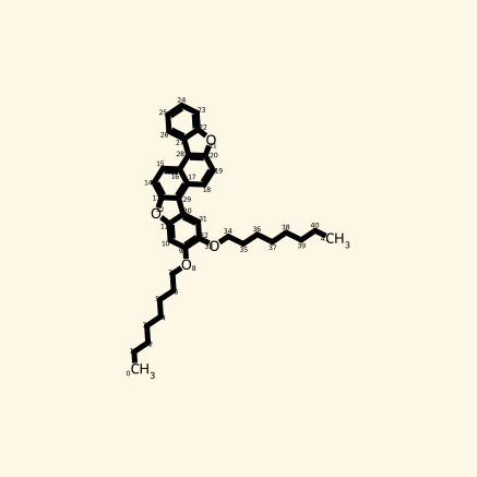 CCCCCCCCOc1cc2oc3ccc4c(ccc5oc6ccccc6c54)c3c2cc1OCCCCCCCC